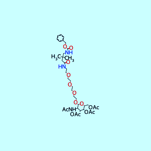 CC(=O)NC1C(OCCOCCOCCOCCNC(=O)CC(C)(C)CNC(=O)OCc2ccccc2)OC(COC(C)=O)C(OC(C)=O)C1OC(C)=O